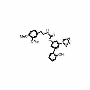 COc1ccc(CCNC(=O)Oc2cc(-c3ccccc3O)cc(-n3cnnn3)c2)cc1OC